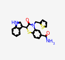 NC(=O)c1ccc2c(c1)N(Cc1cccs1)C(=O)C(c1c[nH]c3ccccc13)S2